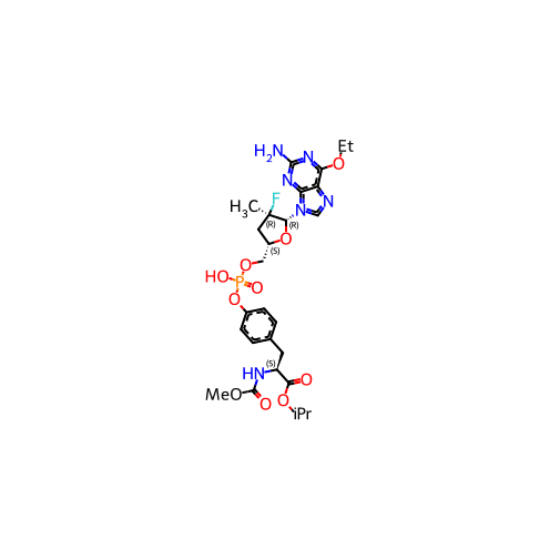 CCOc1nc(N)nc2c1ncn2[C@@H]1O[C@H](COP(=O)(O)Oc2ccc(C[C@H](NC(=O)OC)C(=O)OC(C)C)cc2)C[C@@]1(C)F